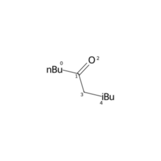 CCCCC(=O)CC(C)CC